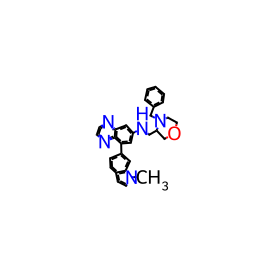 Cn1ccc2ccc(-c3cc(NCC4COCCN4Cc4ccccc4)cc4nccnc34)cc21